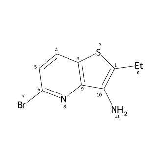 CCc1sc2ccc(Br)nc2c1N